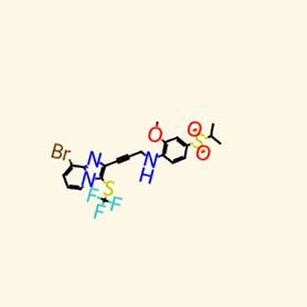 COc1cc(S(=O)(=O)C(C)C)ccc1NCC#Cc1nc2c(Br)cccn2c1SC(F)(F)F